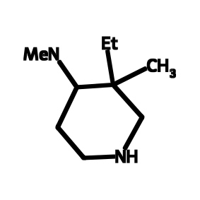 CCC1(C)CNCCC1NC